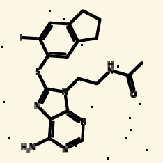 CC(=O)NCCn1c(Sc2cc3c(cc2I)CCC3)nc2c(N)ncnc21